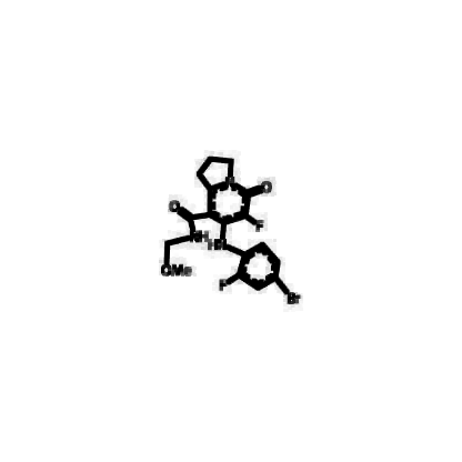 COCNC(=O)c1c(Nc2ccc(Br)cc2F)c(F)c(=O)n2c1CCC2